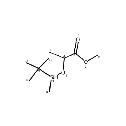 COC(=O)C(C)O[SiH](C)C(C)(C)C